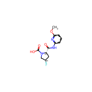 COc1cccc(NC(=O)[C@@H]2C[C@@H](F)CN2C(=O)O)n1